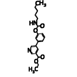 CCCCCNC(=O)Oc1cccc(-c2cncc(C(=O)OCC)c2)c1